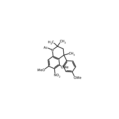 COc1ccc(C2(C)CC(C)(C)N(C(C)=O)c3cc(OC)c([N+](=O)[O-])c(OC)c32)cc1